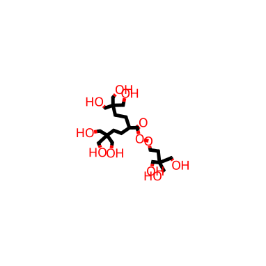 O=C(OOCCC(CO)(CO)CO)C(CCC(CO)(CO)CO)CCC(CO)(CO)CO